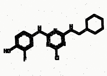 Oc1ccc(Nc2nc(Cl)nc(NCC3CCCCC3)n2)cc1F